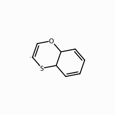 [C]1=COC2C=CC=CC2S1